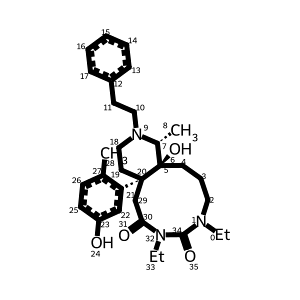 CCN1CCC[C@@]2(O)[C@@H](C)N(CCc3ccccc3)CC[C@]2(c2cc(O)ccc2C)CC(=O)N(CC)C1=O